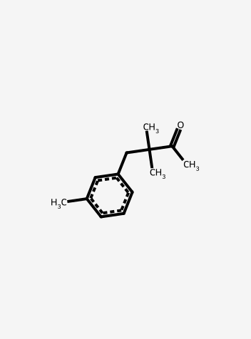 CC(=O)C(C)(C)Cc1cccc(C)c1